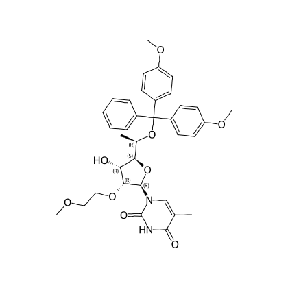 COCCO[C@@H]1[C@H](O)[C@@H]([C@@H](C)OC(c2ccccc2)(c2ccc(OC)cc2)c2ccc(OC)cc2)O[C@H]1n1cc(C)c(=O)[nH]c1=O